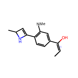 C/C=C(/O)c1ccc(C2=CC(C)N2)c(NC)c1